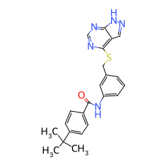 CC(C)(C)c1ccc(C(=O)Nc2cccc(CSc3ncnc4[nH]ncc34)c2)cc1